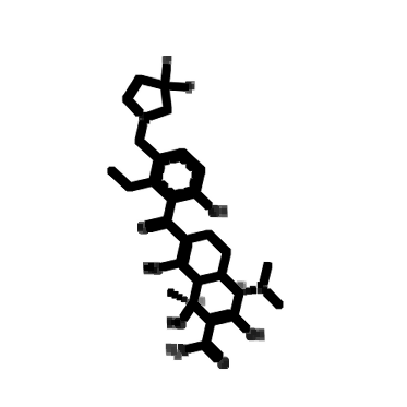 CCc1c(CN2CCC(F)(F)C2)ccc(O)c1C(=O)C1=C(O)C2C(CC1)[C@H](N(C)C)C(O)=C(C(N)=O)[C@@]2(C)O